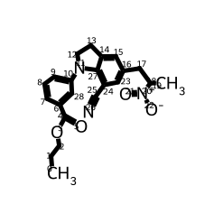 CCCOC(=O)c1cccc(N2CCc3cc(CC(C)[N+](=O)[O-])cc(C#N)c32)c1